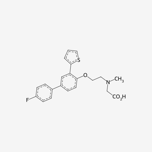 CN(CCOc1ccc(-c2ccc(F)cc2)cc1-c1cccs1)CC(=O)O